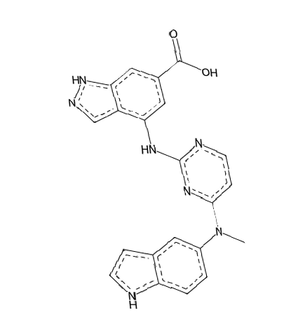 CN(c1ccc2[nH]ccc2c1)c1ccnc(Nc2cc(C(=O)O)cc3[nH]ncc23)n1